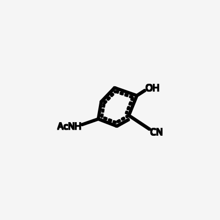 CC(=O)Nc1ccc(O)c(C#N)c1